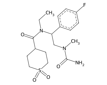 CCN(C(=O)C1CCS(=O)(=O)CC1)C(CN(C)C(N)=O)c1ccc(F)cc1